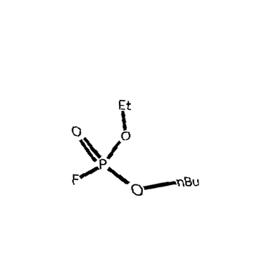 CCCCOP(=O)(F)OCC